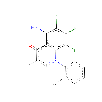 Nc1c(F)c(F)c(F)c2c1c(=O)c(C(=O)O)cn2-c1ccccc1C(F)(F)F